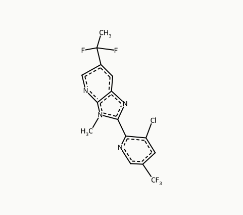 Cn1c(-c2ncc(C(F)(F)F)cc2Cl)nc2cc(C(C)(F)F)cnc21